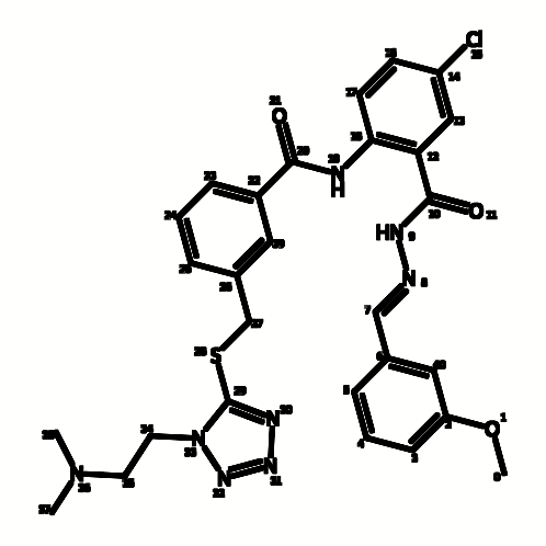 COc1cccc(/C=N/NC(=O)c2cc(Cl)ccc2NC(=O)c2cccc(CSc3nnnn3CCN(C)C)c2)c1